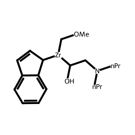 CCCN(CCC)C[CH](O)[Zr]([CH2]OC)[CH]1C=Cc2ccccc21